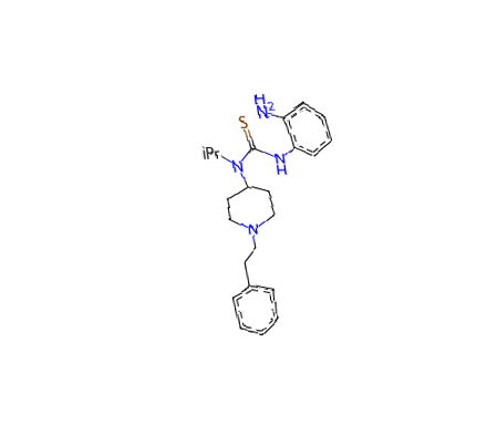 CC(C)N(C(=S)Nc1ccccc1N)C1CCN(CCc2ccccc2)CC1